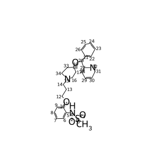 CS(=O)(=O)Nc1ccccc1OCCCN1CCC(OC(c2ccccc2)c2ccccn2)CC1